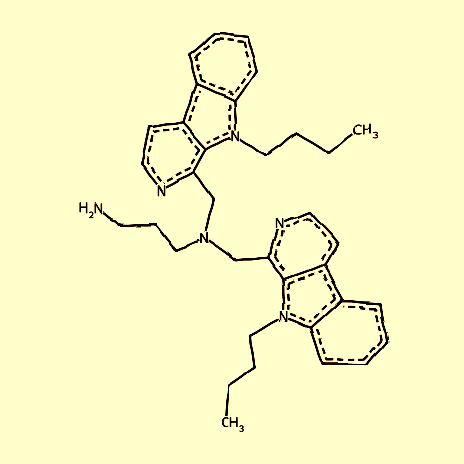 CCCCn1c2ccccc2c2ccnc(CN(CCCN)Cc3nccc4c5ccccc5n(CCCC)c34)c21